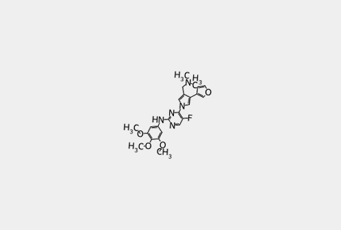 COc1cc(Nc2ncc(F)c(-n3cc(CN(C)C)c(-c4ccoc4)c3)n2)cc(OC)c1OC